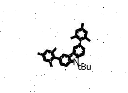 Cc1cc(C)c(-c2ccc3c(c2)c2cc(-c4c(C)cc(C)cc4C)ccc2n3C(C)(C)C)c(C)c1